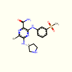 CCc1nc(C(N)=O)c(Nc2cccc(S(C)(=O)=O)c2)nc1N[C@@H]1CCNC1